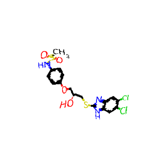 CS(=O)(=O)Nc1ccc(OC[C@@H](O)CSc2nc3cc(Cl)c(Cl)cc3[nH]2)cc1